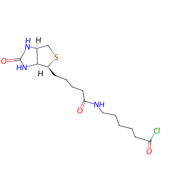 O=C(Cl)CCCCCNC(=O)CCCC[C@@H]1SC[C@@H]2NC(=O)N[C@@H]21